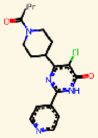 CC(C)C(=O)N1CCC(c2nc(-c3ccncc3)[nH]c(=O)c2Cl)CC1